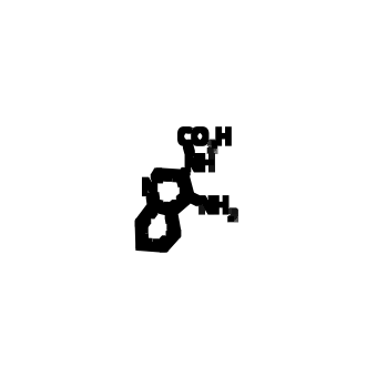 Nc1c(NC(=O)O)cnc2ccccc12